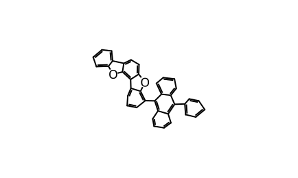 c1ccc(-c2c3ccccc3c(-c3cccc4c3oc3ccc5c6ccccc6oc5c34)c3ccccc23)cc1